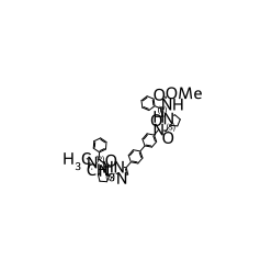 COC(=O)N[C@@H](C(=O)N1CCC[C@H]1C(=O)Nc1ccc(-c2ccc(-c3cnc([C@@H]4CCCN4C(=O)[C@@H](c4ccccc4)N(C)C)[nH]3)cc2)cc1)c1ccccc1